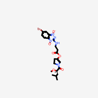 CO[C@H](CC(C)C)C(=O)N1C=C(OC(=O)CCNc2n[n+]([O-])c3cc(Br)ccc3[n+]2[O-])CC1